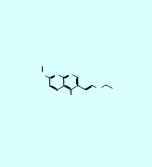 CCO/C=C/c1cnc2nc(OC)ccc2c1N